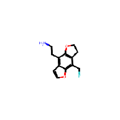 NCCc1c2c(c(CF)c3occc13)CCO2